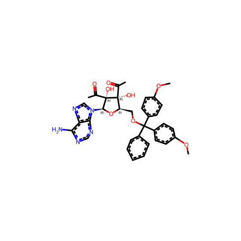 COc1ccc(C(OC[C@H]2O[C@@H](n3cnc4c(N)ncnc43)[C@@](O)(C(C)=O)[C@@]2(O)C(C)=O)(c2ccccc2)c2ccc(OC)cc2)cc1